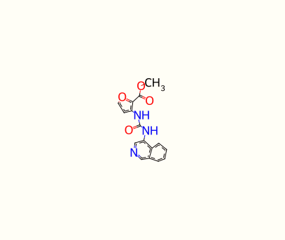 COC(=O)c1occc1NC(=O)Nc1cncc2ccccc12